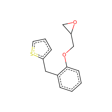 c1csc(Cc2ccccc2OCC2CO2)c1